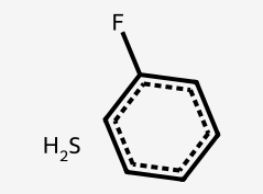 Fc1ccccc1.S